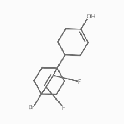 OC1=CCC(C23CCC(Br)(CC2)C(F)=C3F)CC1